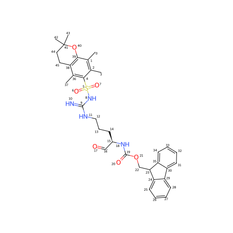 Cc1c(C)c(S(=O)(=O)NC(=N)NCCC[C@H]([C]=O)NC(=O)OCC2c3ccccc3-c3ccccc32)c(C)c2c1OC(C)(C)CC2